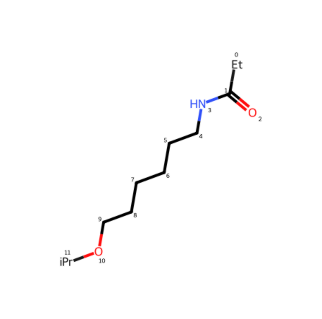 CCC(=O)NCCCCCCOC(C)C